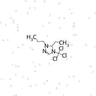 CCCN1N=CN(C(Cl)(Cl)Cl)C1CC